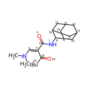 CN(C)C=C(C(=O)NC1C2CC3CC(C2)CC1C3)C(=O)C(C)(C)C